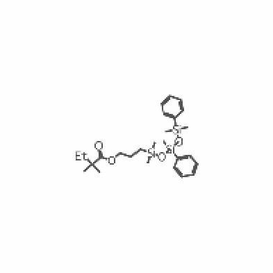 CCC(C)(C)C(=O)OCCC[Si](C)(C)O[Si](C)(O[Si](C)(C)c1ccccc1)c1ccccc1